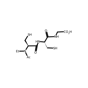 CCN(C(C)=O)[C@@H](CS)C(=O)N[C@@H](CS)C(=O)NCC(=O)O